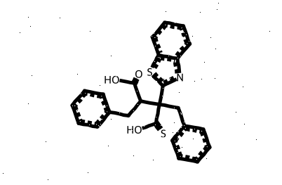 O=C(O)C(Cc1ccccc1)C(Cc1ccccc1)(C(O)=S)c1nc2ccccc2s1